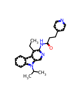 CCc1c(NC(=O)CCc2ccncc2)ncc2c1c1ccccc1n2C(C)C